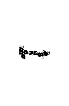 O=C1CCC(N2Cc3cc(N4CCN(CC5(O)CCN(c6ccc([C@@H]7c8ccc(O)cc8CC[C@@H]7c7ccc(F)cc7)cc6)CC5)CC4)ccc3C2=O)C(=O)N1